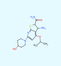 CC(C)Oc1cc(N2CCC(O)CC2)nc2c1C(N)C(C(N)=O)S2